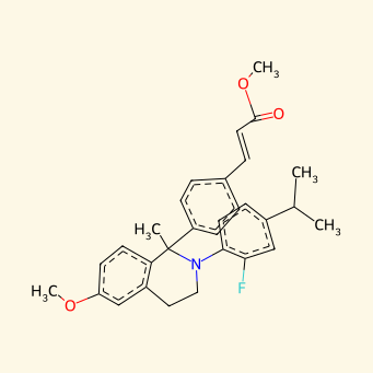 COC(=O)/C=C/c1ccc(C2(C)c3ccc(OC)cc3CCN2c2ccc(C(C)C)cc2F)cc1